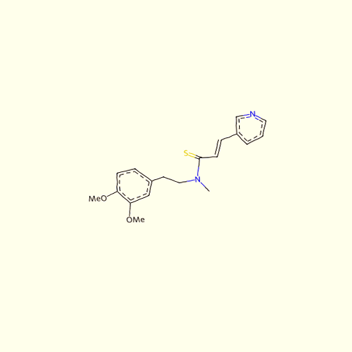 COc1ccc(CCN(C)C(=S)C=Cc2cccnc2)cc1OC